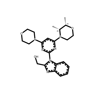 C[C@@H]1OCCN(c2cc(N3CCOCC3)nc(-n3c(CO)nc4ccccc43)n2)[C@@H]1C